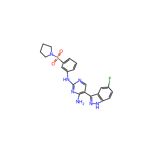 Nc1nc(Nc2cccc(S(=O)(=O)N3CCCC3)c2)ncc1-c1n[nH]c2ccc(F)cc12